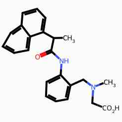 CC(C(=O)Nc1ccccc1CN(C)CC(=O)O)c1cccc2ccccc12